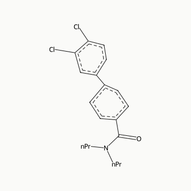 CCCN(CCC)C(=O)c1ccc(-c2ccc(Cl)c(Cl)c2)cc1